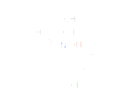 CCC(C)(C)C(=O)N(O)Cc1cc(F)cc(Cl)c1